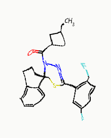 C[C@H]1C[C@@H](C(=O)N2N=C(c3cc(F)ccc3F)SC23CCc2ccccc23)C1